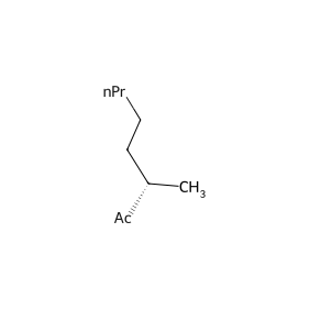 CCCCC[C@H](C)C(C)=O